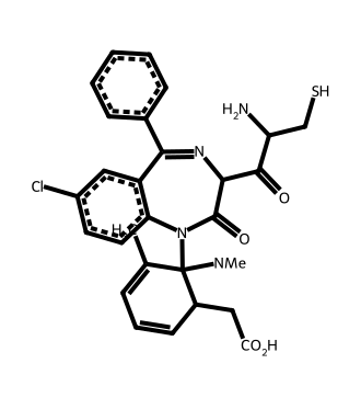 CNC1(N2C(=O)C(C(=O)C(N)CS)N=C(c3ccccc3)c3cc(Cl)ccc32)C(C)=CC=CC1CC(=O)O